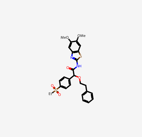 CCS(=O)(=O)c1ccc(C(OCCc2ccccc2)C(=O)Nc2nc3cc(OC)c(OC)cc3s2)cc1